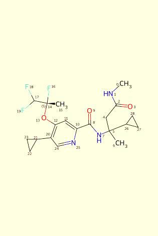 CNC(=O)CC(C)(NC(=O)c1cc(O[C@@](C)(F)C(F)F)c(C2CC2)cn1)C1CC1